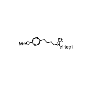 CCCCCCCN(CC)CCCCc1ccc(OC)cc1